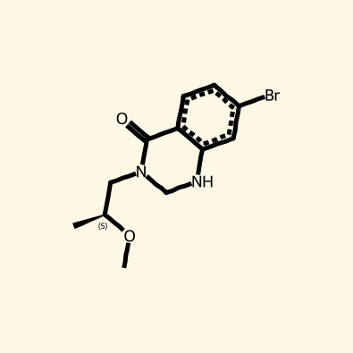 CO[C@@H](C)CN1CNc2cc(Br)ccc2C1=O